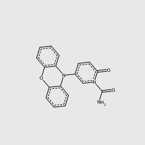 NC(=O)n1cc(N2c3ccccc3Oc3ccccc32)ccc1=O